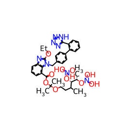 CCOc1nc2cccc(C(=O)OC(C)(C)OCCC(C)[C@H](ON(O)O)[C@H](C)ON(O)O)c2n1Cc1ccc(-c2ccccc2-c2nnn[nH]2)cc1